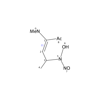 CN/C(=C/C(C)N(O)N=O)C(C)=O